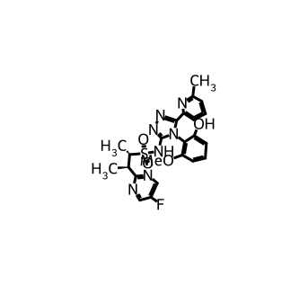 COc1cccc(O)c1-n1c(NS(=O)(=O)[C@@H](C)[C@H](C)c2ncc(F)cn2)nnc1C1=C=C=CC(C)=N1